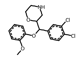 COc1ccccc1OC(c1ccc(Cl)c(Cl)c1)C1CNCCO1